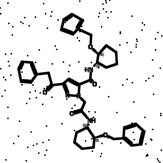 O=C(Cn1nc(C(=O)Cc2ccccc2)cc1C(=O)N[C@H]1CCCC[C@@H]1OCc1ccccc1)N[C@H]1CCCC[C@@H]1OCc1ccccc1